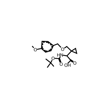 COc1ccc(COCC2(C(NC(=O)OC(C)(C)C)C(=O)O)CC2)cc1